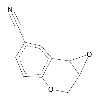 N#Cc1ccc2c(c1)C1OC1CO2